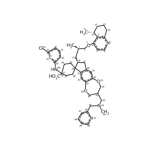 C[C@@H](COc1ccnc2c1[C@H](C)CCC2)C[C@H]1Cc2cc3c(cc2C12CCC(Nc1cccc(Cl)c1)(C(=O)O)CC2)OCC(CN(C)Cc1ccccn1)CO3